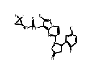 O=C1CC(c2cc(F)ccc2F)N(c2ccn3nc(F)c(NC(=S)NC4CC4(F)F)c3n2)C1